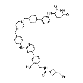 Cc1cc(-c2ccnc(Nc3ccc(CN4CCN(CC5CCN(c6cccc(NC7CCC(=O)NC7=O)c6)CC5)CC4)cc3)n2)ccc1CNC(=O)N1CC(OC(C)C)C1